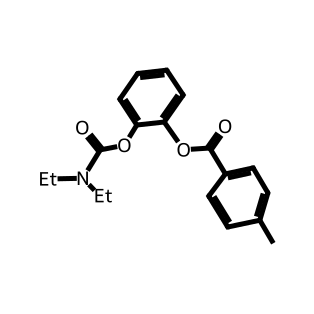 CCN(CC)C(=O)Oc1ccccc1OC(=O)c1ccc(C)cc1